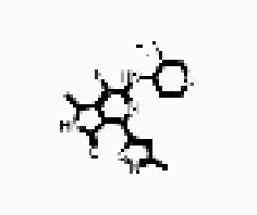 Cc1cc(-c2nc(N[C@@H]3CCOC[C@@H]3N)c(F)c3c2C(=O)NC3C)sn1